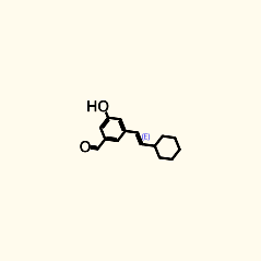 O=Cc1cc(O)cc(/C=C/C2CCCCC2)c1